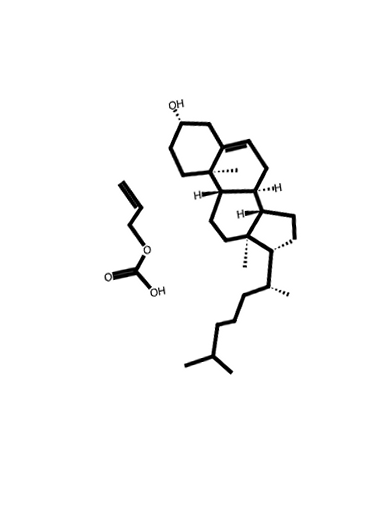 C=CCOC(=O)O.CC(C)CCC[C@@H](C)[C@H]1CC[C@H]2[C@@H]3CC=C4C[C@@H](O)CC[C@]4(C)[C@H]3CC[C@]12C